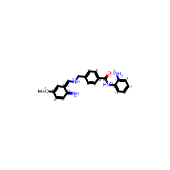 COC1=C/C(=C/NCc2ccc(C(=O)Nc3ccccc3N)cc2)C(=N)C=C1